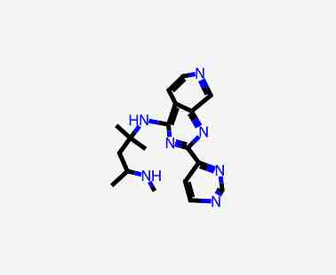 CNC(C)CC(C)(C)Nc1nc(-c2ccncn2)nc2cnccc12